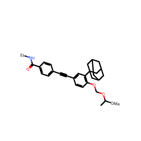 CCNC(=O)c1ccc(C#Cc2ccc(OCOC(C)OC)c(C34CC5CC(CC(C5)C3)C4)c2)cc1